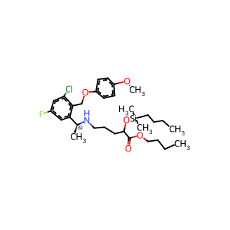 CCCCOC(=O)C(CCCN[C@@H](C)c1cc(F)cc(Cl)c1COc1ccc(OC)cc1)O[Si](C)(C)CCCC